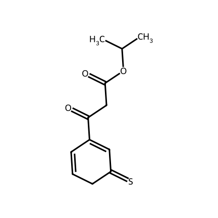 CC(C)OC(=O)CC(=O)C1=CC(=S)CC=C1